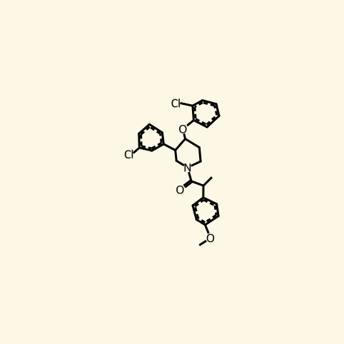 COc1ccc(C(C)C(=O)N2CCC(Oc3ccccc3Cl)C(c3cccc(Cl)c3)C2)cc1